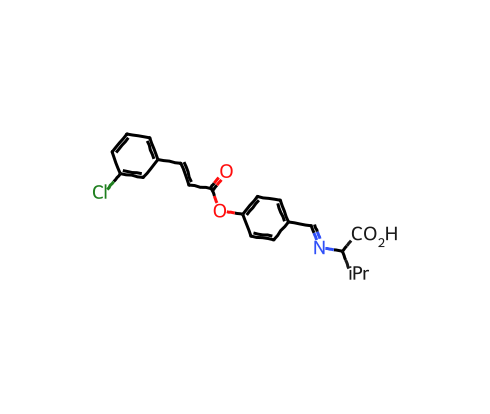 CC(C)C(/N=C/c1ccc(OC(=O)/C=C/c2cccc(Cl)c2)cc1)C(=O)O